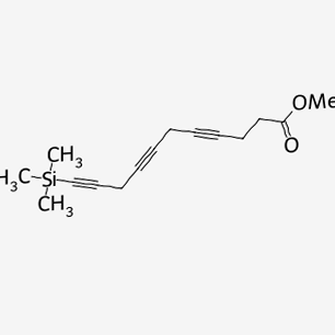 COC(=O)CCC#CCC#CCC#C[Si](C)(C)C